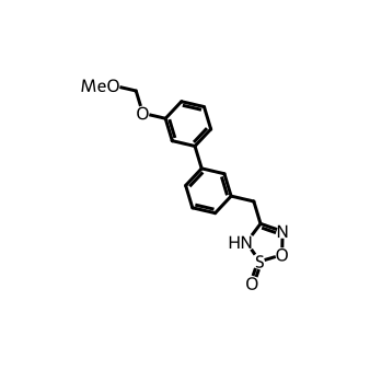 COCOc1cccc(-c2cccc(CC3=NOS(=O)N3)c2)c1